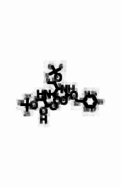 CC(OC(C)(C)C)C(NC(=O)OCc1ccccc1)C(=O)NC(COC(C)(C)C)C(=O)O